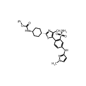 Cc1nc([C@H]2CC[C@H](NC(=O)OC(C)C)CC2)sc1-c1ccc(Nc2ccn(C)n2)cc1S(N)(=O)=O